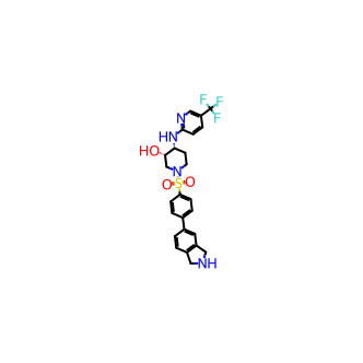 O=S(=O)(c1ccc(-c2ccc3c(c2)CNC3)cc1)N1CC[C@@H](Nc2ccc(C(F)(F)F)cn2)[C@@H](O)C1